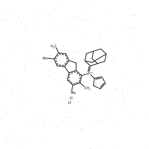 Cc1cc2c(cc1C(C)(C)C)-c1cc(C(C)(C)C)c(C)[c]([Zr+2]([C]3=CC=CC3)=[C]3C4CC5CC(C4)CC3C5)c1C2.[Cl-].[Cl-]